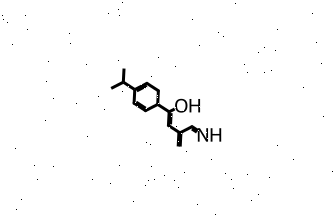 C=C(C=N)/C=C(\O)C1C=CC(C(C)C)=CC1